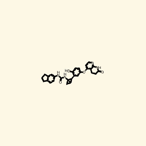 O=C1CCc2c(Oc3ccc(O)c(C4C5CC54NC(=O)Nc4ccc5c(c4)CCC5)c3)ccnc2N1